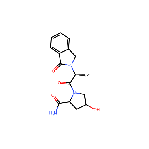 CC(C)[C@@H](C(=O)N1CC(O)CC1C(N)=O)N1Cc2ccccc2C1=O